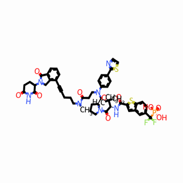 CN(CCCC#Cc1cccc2c1CN(C1CCC(=O)NC1=O)C2=O)C(=O)CCN(C(=O)[C@@H]1CCCN1C(=O)[C@@H](NC(=O)c1cc2cc(C(F)(F)P(=O)(O)O)ccc2s1)C(C)(C)C)c1ccc(-c2nccs2)cc1